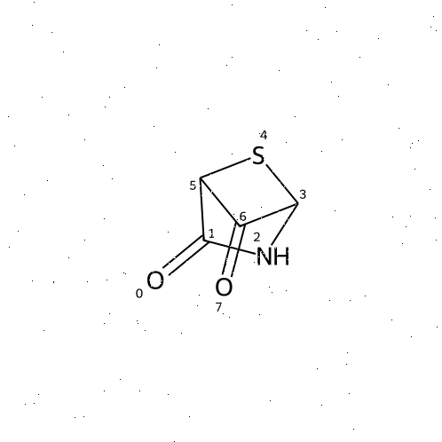 O=C1NC2SC1C2=O